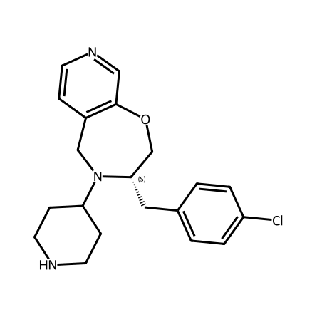 Clc1ccc(C[C@H]2COc3cnccc3CN2C2CCNCC2)cc1